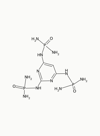 NP(N)(=O)Nc1cc(NP(N)(N)=O)nc(NP(N)(N)=O)n1